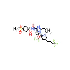 CCc1nc(C(=O)NCC2(O)CCC(S(C)(=O)=O)CC2)c(C)n1-c1ncc(CCCC(F)(F)F)cc1OC(F)F